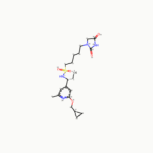 Cc1cc([C@@H](CC#N)NS(=O)(=O)CCCCCN2CC(=O)NC2=O)cc(OCC2CC2)n1